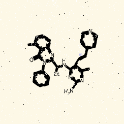 CCC(Nc1nc(N)nc(C)c1/C=C/c1ccncc1)c1nc2cccc(C)c2c(=O)n1-c1ccccc1